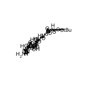 CC(C)(C)COCCOCCC(=O)NCCN1C(=O)CC(SCCNC(=O)CCNC(=O)[C@H](O)C(C)(C)COP(=O)(O)OP(=O)(O)OC[C@H]2O[C@@H](n3cnc4c(N)ncnc43)[C@@H](O)C2OP(=O)(O)O)C1=O